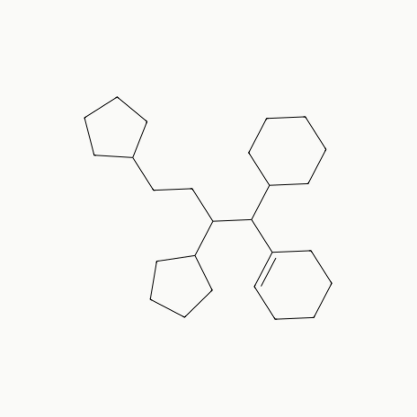 C1=C(C(C2CCCCC2)C(CCC2CCCC2)C2CCCC2)CCCC1